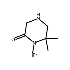 CC(C)N1C(=O)CNCC1(C)C